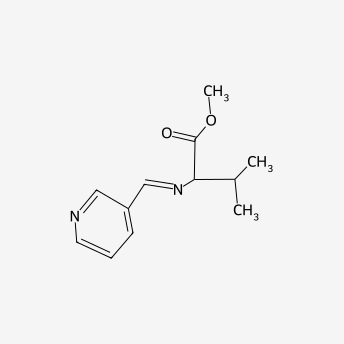 COC(=O)C(N=Cc1cccnc1)C(C)C